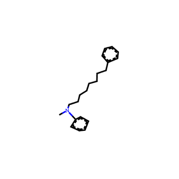 CN(CCCCCCCCc1ccccc1)c1ccccc1